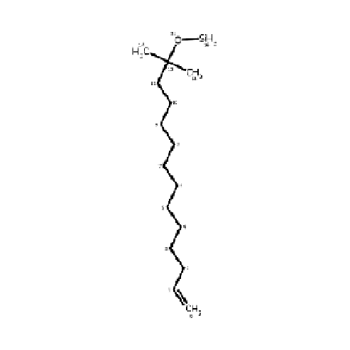 C=CCCCCCCCCCCC(C)(C)O[SiH3]